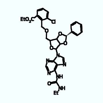 CCNC(=O)Nc1ncnc2c1ncn2C1OC(COCc2c(Cl)cccc2C(=O)OCC)C2O[C@H](c3ccccc3)OC21